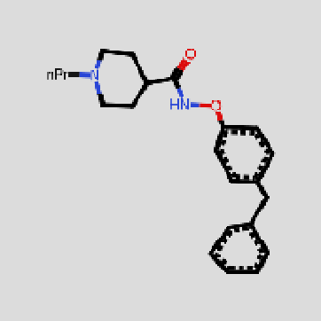 CCCN1CCC(C(=O)NOc2ccc(Cc3ccccc3)cc2)CC1